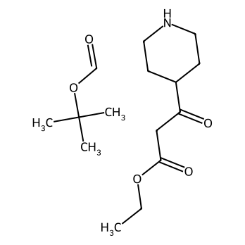 CC(C)(C)OC=O.CCOC(=O)CC(=O)C1CCNCC1